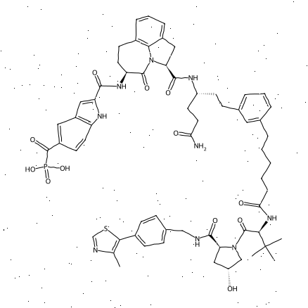 Cc1ncsc1-c1ccc(CNC(=O)[C@@H]2C[C@@H](O)CN2C(=O)[C@@H](NC(=O)CCCCCc2cccc(CC[C@H](CCC(N)=O)NC(=O)[C@@H]3Cc4cccc5c4N3C(=O)[C@@H](NC(=O)c3cc4cc(C(=O)P(=O)(O)O)ccc4[nH]3)CC5)c2)C(C)(C)C)cc1